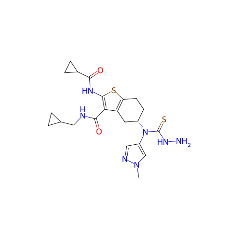 Cn1cc(N(C(=S)NN)[C@H]2CCc3sc(NC(=O)C4CC4)c(C(=O)NCC4CC4)c3C2)cn1